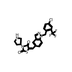 O=C1SC(=Cc2ccc3c(cnn3Cc3ccc(Cl)cc3C(F)(F)F)c2)C(=O)N1[C@H]1CCNC1